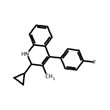 CC1=C(c2ccc(F)cc2)c2ccccc2NC1C1CC1